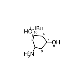 CC[C@@H](C)O.NC1CCCC(O)C1